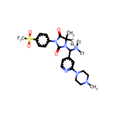 CCN(CC)C(c1ccnc(N2CCN(C)CC2)c1)N1C(=O)N(c2ccc(S(=O)(=O)C(F)(F)F)cc2)C(=O)C1(C)C